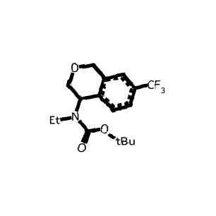 CCN(C(=O)OC(C)(C)C)C1COCc2cc(C(F)(F)F)ccc21